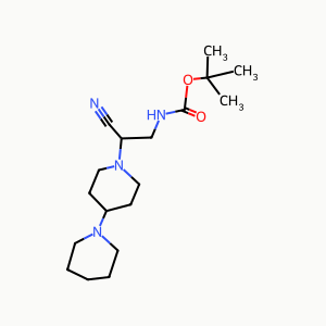 CC(C)(C)OC(=O)NCC(C#N)N1CCC(N2CCCCC2)CC1